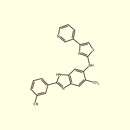 Cc1cc2nc(-c3cccc(C#N)c3)[nH]c2cc1Nc1nc(-c2cccnc2)cs1